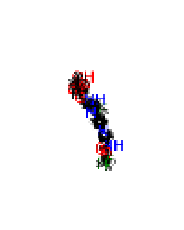 O=C(NC1CCN(c2ccc(-c3nc4cc(O[C@@H]5CO[C@H]6[C@@H]5OC[C@H]6O)[nH]c4cc3F)cc2)CC1)OCC(F)(F)F